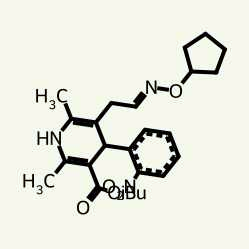 CC1=C(CC=NOC2CCCC2)C(c2ccccc2[N+](=O)[O-])C(C(=O)OCC(C)C)=C(C)N1